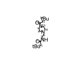 CC(C)(C)CC(=O)NCCN1CCN(C(=O)CC(C)(C)C)CC1